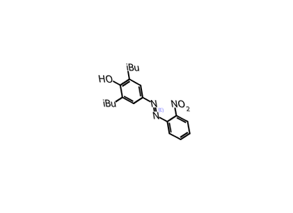 CCC(C)c1cc(/N=N/c2ccccc2[N+](=O)[O-])cc(C(C)CC)c1O